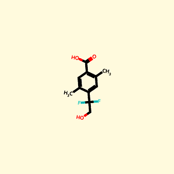 Cc1cc(C(F)(F)CO)c(C)cc1C(=O)O